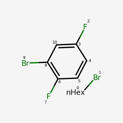 CCCCCCBr.Fc1ccc(F)c(Br)c1